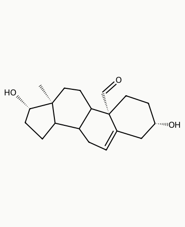 C[C@]12CCC3C(CC=C4C[C@@H](O)CC[C@@]43C=O)C1CC[C@@H]2O